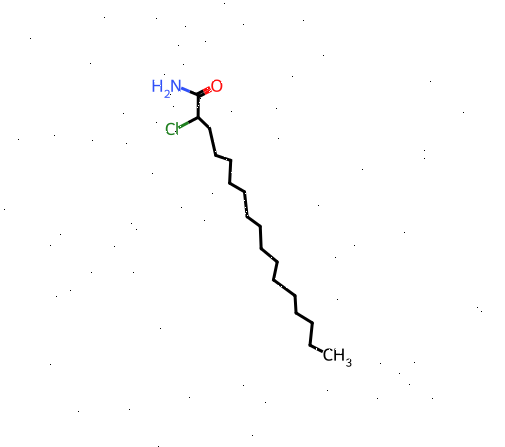 CCCCCCCCCCCCCCCC(Cl)C(N)=O